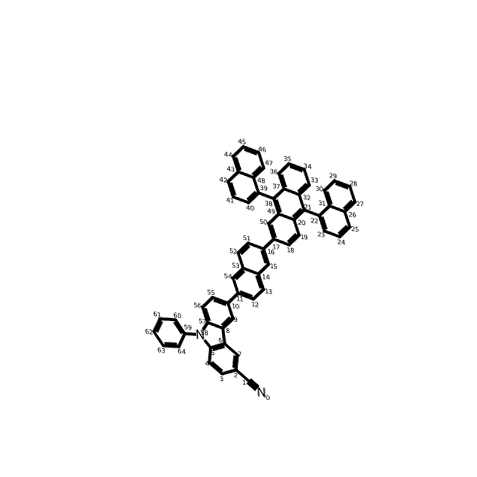 N#Cc1ccc2c(c1)c1cc(-c3ccc4cc(-c5ccc6c(-c7cccc8ccccc78)c7ccccc7c(-c7cccc8ccccc78)c6c5)ccc4c3)ccc1n2-c1ccccc1